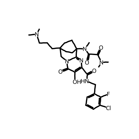 CN(C)CCCC12CCC(N(C)C(=O)C(=O)N(C)C)(CC1)c1nc(C(=O)NCc3cccc(Cl)c3F)c(O)c(=O)n1C2